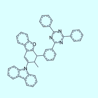 CC1C(n2c3ccccc3c3ccccc32)=Cc2c(oc3ccccc23)C1c1cccc(-c2nc(-c3ccccc3)nc(-c3ccccc3)n2)c1